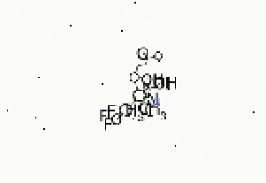 C/C=N\c1c(C)c(-c2ccc(OC(F)(F)F)cc2)cc(C2CCC(CCC(=O)C3=CCC3)C2)c1[C@H](O)CO